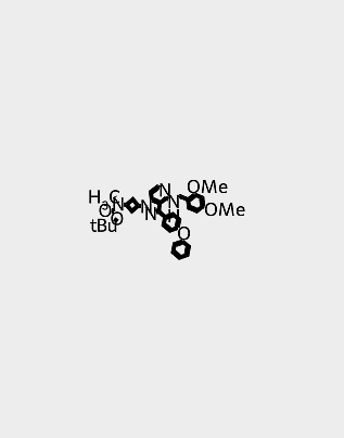 COc1ccc(CNc2nccc3c2c(-c2ccc(Oc4ccccc4)cc2)nn3C2CC(N(C)C(=O)OC(C)(C)C)C2)c(OC)c1